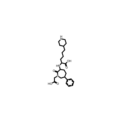 O=C(O)CN1CC(c2ccccc2)CCC(NC(CCCCC2CCNCC2)C(=O)O)C1=O